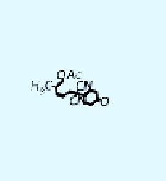 CC(=O)OC[C@@H](C)/C=C\CC(C#N)(C#N)C1=CCC(=O)CC1